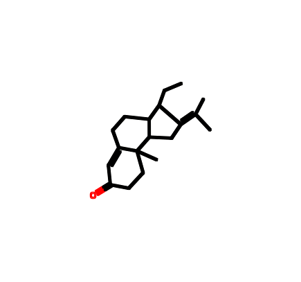 CCC1C(=C(C)C)CC2C1CCC1=CC(=O)CCC12C